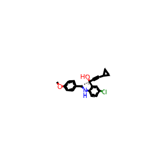 COc1ccc(CNc2ccc(Cl)cc2[C@@](C)(O)C#CC2CC2)cc1